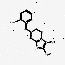 CNc1sc2c(c1C#N)CCN(Cc1ccccc1OC)C2